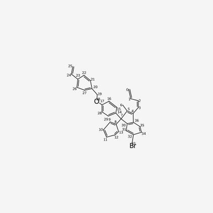 C=C/C=C\C1=C(C)C(c2ccccc2)(c2ccc(OCc3ccc(C=C)cc3)cc2)c2cc(Br)ccc21